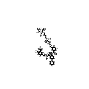 CC(=O)N[C@@H](CCCCNC(=O)CCSCc1cccc(C(=O)Nc2ccc(N3CCCCC3)cc2C(=O)N/N=C/c2ccc(Cl)c(C(F)(F)F)c2)c1)C(=O)O